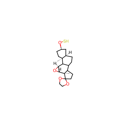 C[C@]12CC[C@@H](OS)C[C@H]1CCC1C2[C@@H]2O[C@@H]2[C@@]2(C)C1CCC21OCCO1